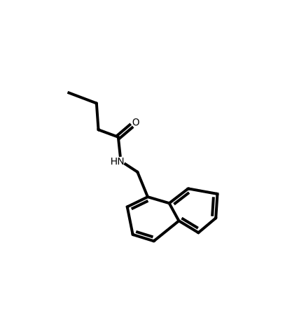 CCCC(=O)NCc1cccc2ccccc12